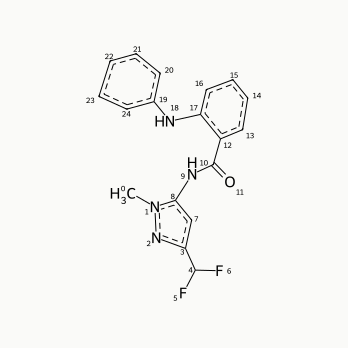 Cn1nc(C(F)F)cc1NC(=O)c1ccccc1Nc1ccccc1